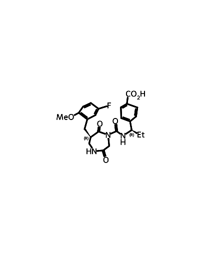 CC[C@@H](NC(=O)N1CC(=O)NC[C@@H](Cc2cc(F)ccc2OC)C1=O)c1ccc(C(=O)O)cc1